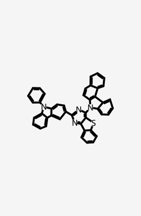 c1ccc(-n2c3ccccc3c3cc(-c4nc(-n5c6ccccc6c6c7ccccc7ccc65)c5sc6ccccc6c5n4)ccc32)cc1